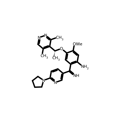 COc1cc(N)c(C(=N)c2ccc(N3CCCC3)nc2)cc1O[C@H](C)c1c(C)cnnc1C